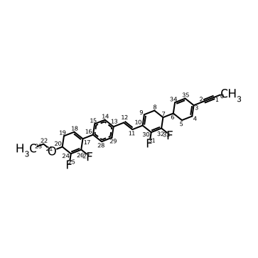 CC#CC1=CCC(C2CC=C(/C=C/c3ccc(C4=CCC(OCC)C(F)=C4F)cc3)C(F)=C2F)C=C1